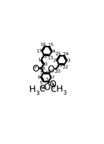 COC1(OC)C=CC(C(=O)C=Cc2ccccc2)=C(OCc2ccccc2)C1